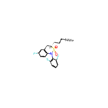 CNCCC[C@H]1Cc2cc(F)ccc2N(c2c(F)cccc2F)S1(=O)=O